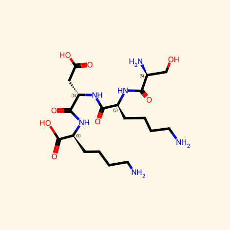 NCCCC[C@H](NC(=O)[C@H](CC(=O)O)NC(=O)[C@H](CCCCN)NC(=O)[C@@H](N)CO)C(=O)O